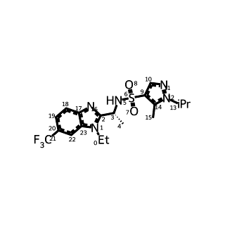 CCn1c([C@@H](C)NS(=O)(=O)c2cnn(C(C)C)c2C)nc2ccc(C(F)(F)F)cc21